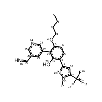 CCCCOc1ccc(-c2cc(C(F)(F)F)n(C)n2)c(O)c1-c1cncc(C=N)c1